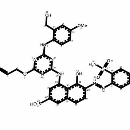 C=CCOc1nc(Nc2ccc(OC)cc2CO)nc(Nc2cc(S(=O)(=O)O)cc3ccc(N=Nc4ccccc4S(N)(=O)=O)c(O)c23)n1